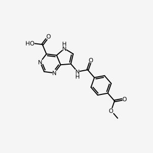 COC(=O)c1ccc(C(=O)Nc2c[nH]c3c(C(=O)O)ncnc23)cc1